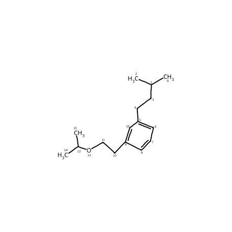 CC(C)CCc1cccc(CCOC(C)C)c1